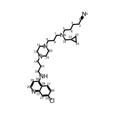 N#CCCCCN(CCCN1CCN(CCCNc2ccnc3cc(Cl)ccc23)CC1)CC1CC1